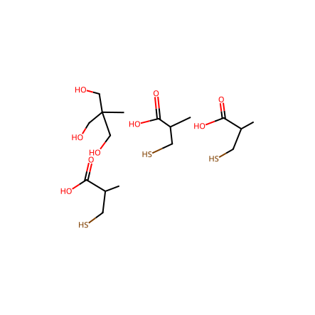 CC(CO)(CO)CO.CC(CS)C(=O)O.CC(CS)C(=O)O.CC(CS)C(=O)O